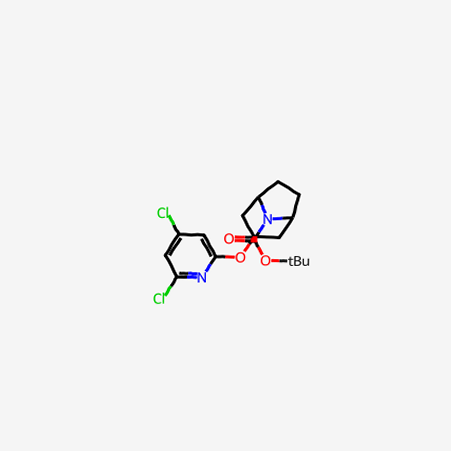 CC(C)(C)OC(=O)N1C2CCC1CC(Oc1cc(Cl)cc(Cl)n1)C2